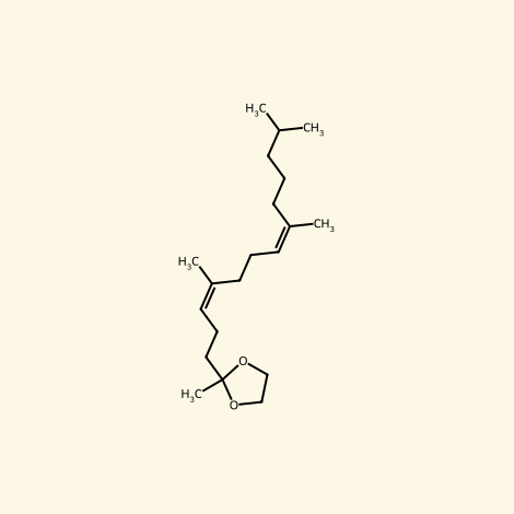 CC(=CCCC1(C)OCCO1)CCC=C(C)CCCC(C)C